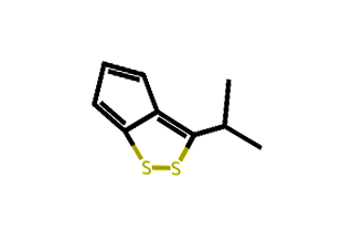 CC(C)c1ssc2cccc1-2